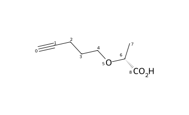 C#CCCCO[C@H](C)C(=O)O